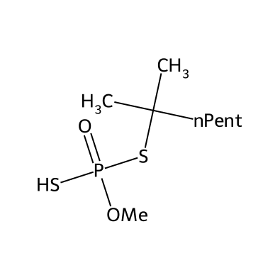 CCCCCC(C)(C)SP(=O)(S)OC